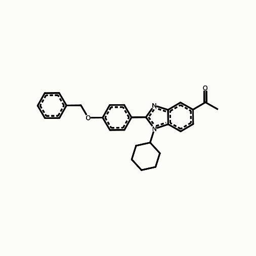 CC(=O)c1ccc2c(c1)nc(-c1ccc(OCc3ccccc3)cc1)n2C1CCCCC1